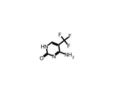 Nc1nc(=O)[nH]cc1C(F)(F)F